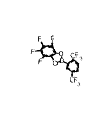 Fc1c(F)c(F)c2c(c1F)OB(c1cc(C(F)(F)F)ccc1C(F)(F)F)O2